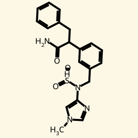 Cn1cnc(N(Cc2cccc(C(Cc3ccccc3)C(N)=O)c2)[SH](=O)=O)c1